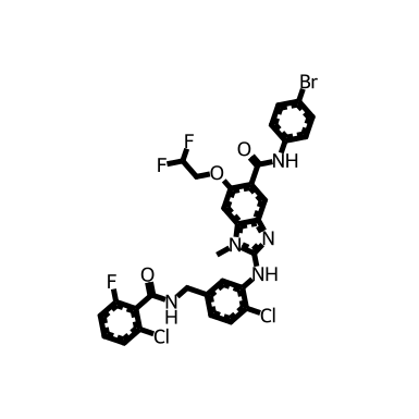 Cn1c(Nc2cc(CNC(=O)c3c(F)cccc3Cl)ccc2Cl)nc2cc(C(=O)Nc3ccc(Br)cc3)c(OCC(F)F)cc21